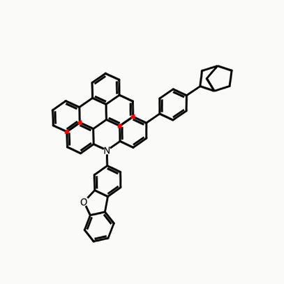 c1ccc(-c2cccc3cccc(-c4ccccc4N(c4ccc(-c5ccc(C6CC7CCC6C7)cc5)cc4)c4ccc5c(c4)oc4ccccc45)c23)cc1